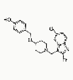 CCc1nc2ccc(Cl)cn2c1CN1CCC(OCc2ccc(O)cc2)CC1